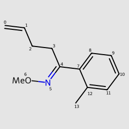 C=CCCC(=NOC)c1ccccc1C